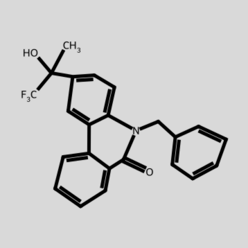 CC(O)(c1ccc2c(c1)c1ccccc1c(=O)n2Cc1ccccc1)C(F)(F)F